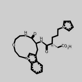 O=C(O)C[C@@H](CCCn1cccc1)C(=O)NC1Cc2cn(c3ccccc23)CCOCCNC1=O